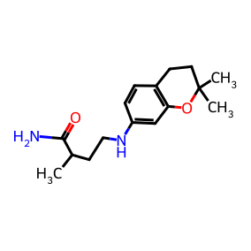 CC(CCNc1ccc2c(c1)OC(C)(C)CC2)C(N)=O